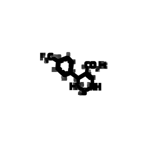 CCOC(=O)C1=CNSNC1c1ccc(C(F)(F)F)cc1